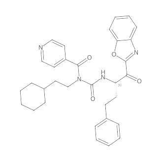 O=C(c1nc2ccccc2o1)[C@H](CCc1ccccc1)NC(=O)N(CCC1CCCCC1)C(=O)c1ccncc1